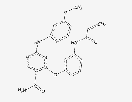 C=CC(=O)Nc1cccc(Oc2nc(Nc3cccc(OC)c3)ncc2C(N)=O)c1